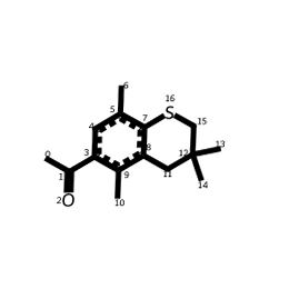 CC(=O)c1cc(C)c2c(c1C)CC(C)(C)CS2